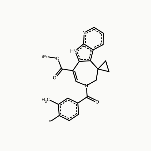 Cc1cc(C(=O)N2C=C(C(=O)OC(C)C)c3[nH]c4ncccc4c3C3(CC3)C2)ccc1F